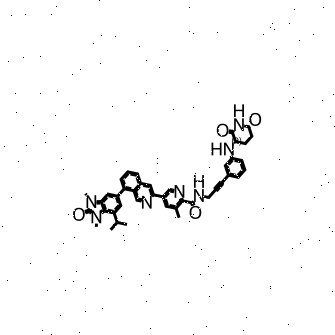 Cc1cc(-c2cc3cccc(-c4cc(C(C)C)c5c(c4)n(C)c(=O)n5C)c3cn2)cnc1C(=O)NCC#Cc1cccc(N[C@@H]2CCC(=O)NC2=O)c1